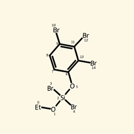 CCO[Si](Br)(Br)Oc1ccc(Br)c(Br)c1Br